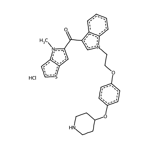 Cl.Cn1c(C(=O)c2cn(CCOc3ccc(OC4CCNCC4)cc3)c3ccccc23)cc2sccc21